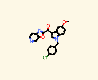 COc1ccc2c(c1)c(C(=O)c1nc3ccncc3o1)cn2Cc1ccc(Cl)cc1